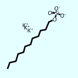 CCCCCCCCCCCCO[Si]([O-])([O-])[O-].[K+].[K+].[K+]